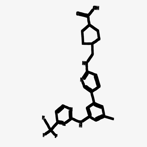 Cc1cc(Nc2nccc(C(F)(F)F)n2)cc(-c2ccc(NCC3CCC(C(=O)O)CC3)nc2)c1